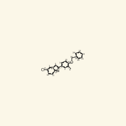 Cc1cc(-c2cn3cc(Cl)ccc3n2)ccc1OCc1ccccc1